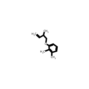 C=CC(C)COc1cccc(C)c1C